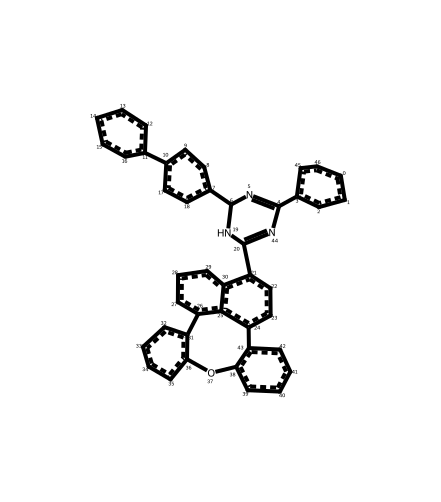 c1ccc(C2=NC(c3ccc(-c4ccccc4)cc3)NC(c3ccc4c5c(cccc35)-c3ccccc3Oc3ccccc3-4)=N2)cc1